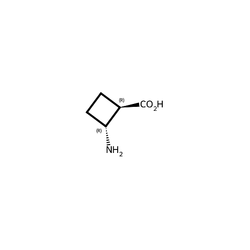 N[C@@H]1CC[C@H]1C(=O)O